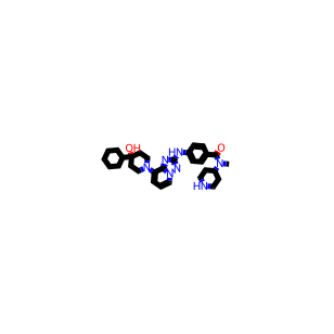 CN(C(=O)c1ccc(Nc2nc3c(N4CCC(O)(C5CCCCC5)CC4)cccn3n2)cc1)C1CCNCC1